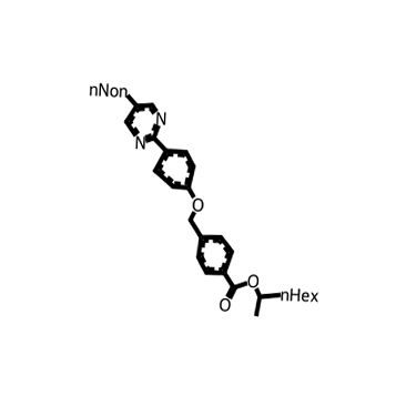 CCCCCCCCCc1cnc(-c2ccc(OCc3ccc(C(=O)OC(C)CCCCCC)cc3)cc2)nc1